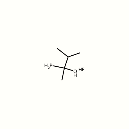 CC(C)C(C)(O)P.F